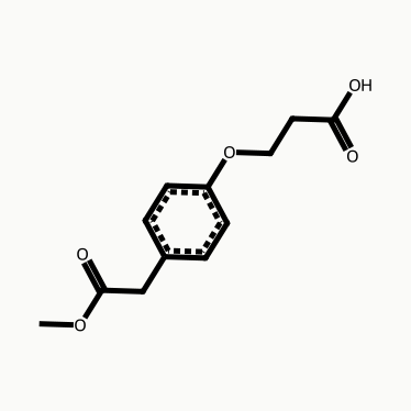 COC(=O)Cc1ccc(OCCC(=O)O)cc1